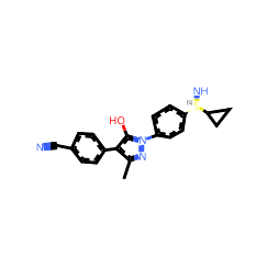 Cc1nn(-c2ccc([S@](=N)C3CC3)cc2)c(O)c1-c1ccc(C#N)cc1